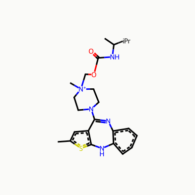 Cc1cc2c(s1)Nc1ccccc1N=C2N1CC[N+](C)(COC(=O)NC(C)C(C)C)CC1